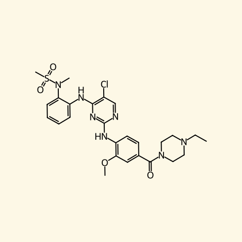 CCN1CCN(C(=O)c2ccc(Nc3ncc(Cl)c(Nc4ccccc4N(C)S(C)(=O)=O)n3)c(OC)c2)CC1